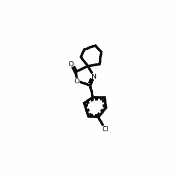 O=C1OC(c2ccc(Cl)cc2)=NC12CCCCC2